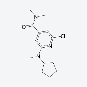 CN(C)C(=O)c1cc(Cl)nc(N(C)C2CCCC2)c1